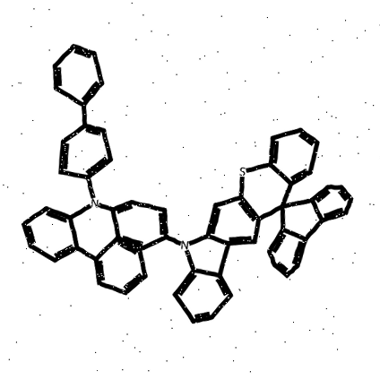 c1ccc(-c2ccc(N(c3ccc(-n4c5ccccc5c5cc6c(cc54)Sc4ccccc4C64c5ccccc5-c5ccccc54)cc3)c3ccccc3-c3ccccc3)cc2)cc1